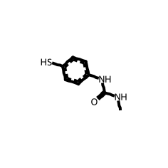 CNC(=O)Nc1ccc(S)cc1